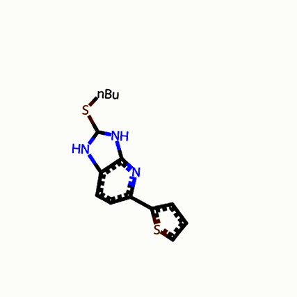 CCCCSC1Nc2ccc(-c3cccs3)nc2N1